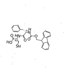 O=C(N[C@@H](Cc1ccccc1)C(=O)N[C@@H](CS)C(=O)O)OCC1c2ccccc2-c2ccccc21